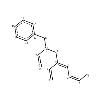 C=C/C(=C\C=C/C)CN(C=O)Cc1ccccc1